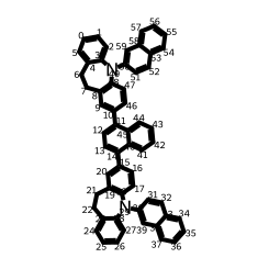 c1ccc2c(c1)CCc1cc(-c3ccc(-c4ccc5c(c4)CCc4ccccc4N5c4ccc5ccccc5c4)c4ccccc34)ccc1N2c1ccc2ccccc2c1